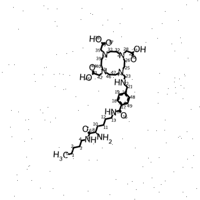 CCCCCNC(=O)[C@H](N)CCCCNC(=O)c1ccc(CNCN2CCN(CC(=O)O)CCN(CC(=O)O)CCN(CC(=O)O)CC2)cc1